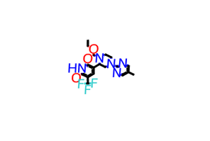 CCOC(=O)N1CCN(c2ncc(C)cn2)CC1c1c[nH]c(=O)c(C(F)(F)F)c1